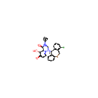 O=C1c2c(O)c(=O)ccn2N([C@@H]2c3ccccc3SCc3c(F)cccc32)CN1C1C2CC1C2